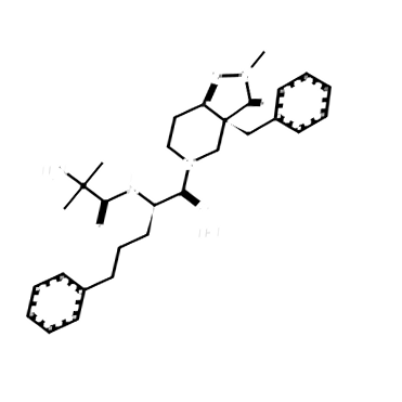 CN1N=C2CCN(C(=O)[C@@H](CCCc3ccccc3)NC(=O)C(C)(C)N)C[C@@]2(Cc2ccccc2)C1=O.Cl